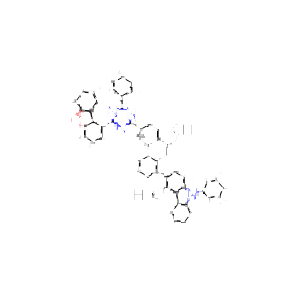 CCC(Cc1ccccc1-c1ccc2c(c1C)c1ccccc1n2-c1ccccc1)C1=CC=C(c2nc(-c3ccccc3)nc(-c3cccc4oc5ccccc5c34)n2)CC1